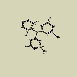 Cc1cc(C(c2[c]c(C(C)(C)C)cc(C)c2)c2c(C)cccc2C)[c]c(C(C)(C)C)c1